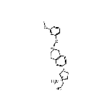 COc1cccc(OC[C@@H]2CCc3cc([C@@H]4CC[C@@](N)(CO)C4)ccc3C2)c1